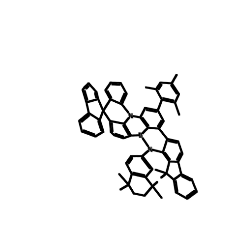 Cc1cc(C)c(-c2cc3c4c(c2)N2c5ccccc5C5(c6ccccc6-c6ccccc65)c5cccc(c52)B4N(c2ccc4c(c2)C(C)(C)CCC4(C)C)c2c-3ccc3c2C(C)(C)c2ccccc2-3)c(C)c1